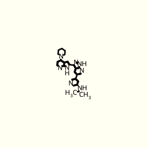 CC(C)Nc1cncc(-c2cnc3[nH]nc(-c4cc5c(N6CCCCC6)ccnc5[nH]4)c3c2)c1